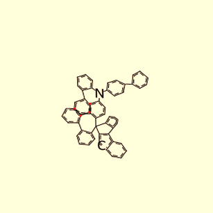 c1ccc(-c2ccc(N(c3ccc4c(c3)-c3ccccc3-c3ccccc3C43c4ccccc4-c4c3ccc3ccccc43)c3ccccc3-c3ccccc3)cc2)cc1